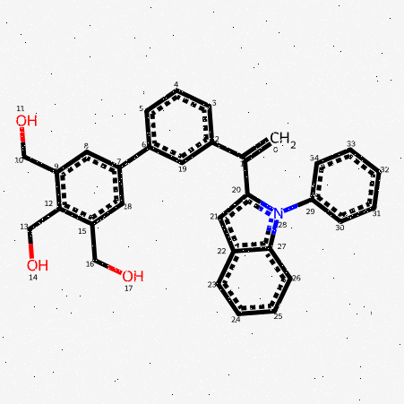 C=C(c1cccc(-c2cc(CO)c(CO)c(CO)c2)c1)c1cc2ccccc2n1-c1ccccc1